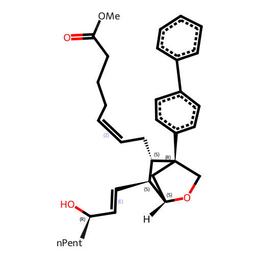 CCCCC[C@@H](O)/C=C/[C@@H]1[C@@H]2C[C@@](c3ccc(-c4ccccc4)cc3)(CO2)[C@H]1C/C=C\CCCC(=O)OC